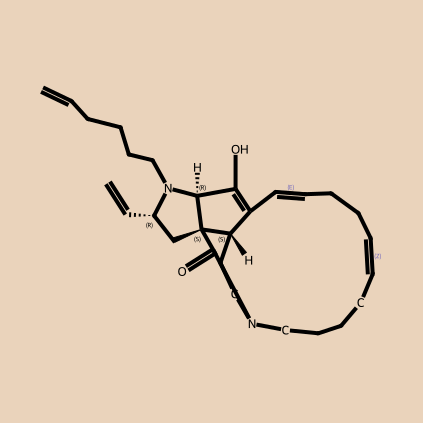 C=CCCCCN1[C@H]2C(O)=C3/C=C/CC/C=C\CCCCN4CC[C@@H]3[C@]2(C[C@@H]1C=C)C4=O